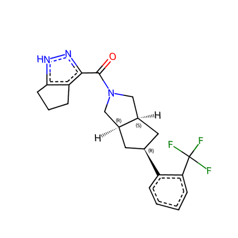 O=C(c1n[nH]c2c1CCC2)N1C[C@H]2C[C@@H](c3ccccc3C(F)(F)F)C[C@H]2C1